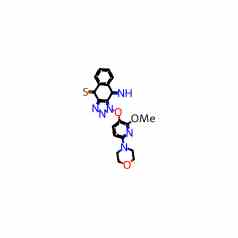 COc1nc(N2CCOCC2)ccc1On1nnc2c1C(=N)c1ccccc1C2=S